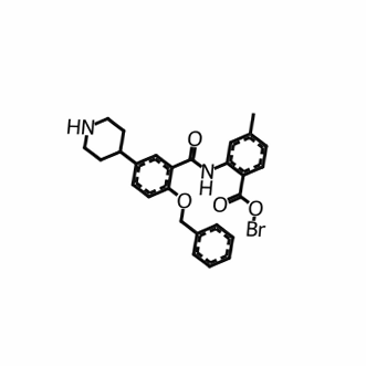 Cc1ccc(C(=O)OBr)c(NC(=O)c2cc(C3CCNCC3)ccc2OCc2ccccc2)c1